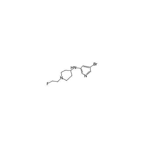 FCCN1CCC(Nc2cncc(Br)c2)CC1